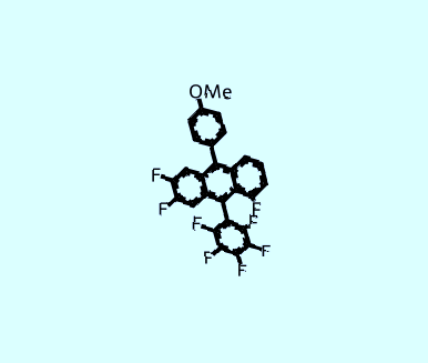 COc1ccc(-c2c3cc(F)c(F)cc3c(-c3c(F)c(F)c(F)c(F)c3F)c3c(F)cccc23)cc1